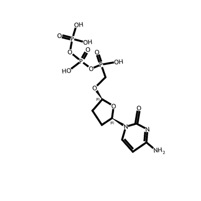 Nc1ccn([C@H]2CC[C@@H](OCP(=O)(O)OP(=O)(O)OP(=O)(O)O)O2)c(=O)n1